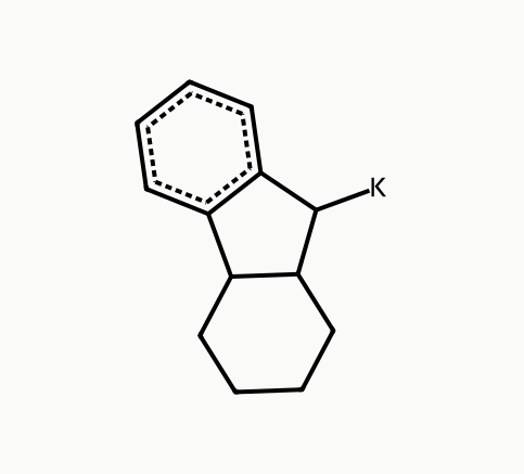 [K][CH]1c2ccccc2C2CCCCC12